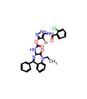 CCN1C(=O)C(NC(=O)Oc2n[nH]c(NC(=O)c3ccccc3Cl)c2Br)N=C(c2ccccc2)c2ccccc21